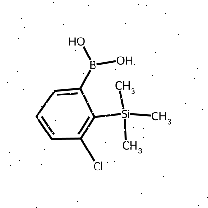 C[Si](C)(C)c1c(Cl)cccc1B(O)O